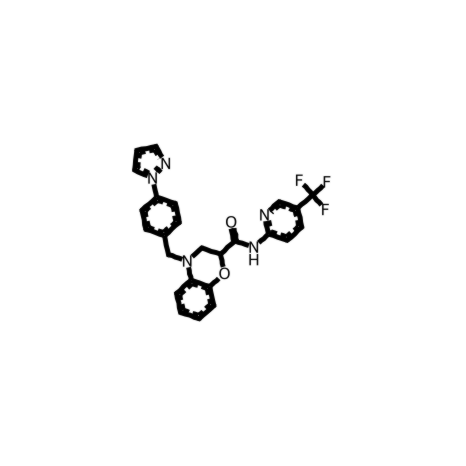 O=C(Nc1ccc(C(F)(F)F)cn1)C1CN(Cc2ccc(-n3cccn3)cc2)c2ccccc2O1